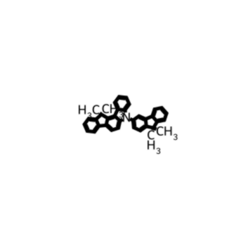 CC1(C)c2ccccc2-c2cc(-n3c4ccccc4c4c5c(ccc43)-c3ccccc3C5(C)C)ccc21